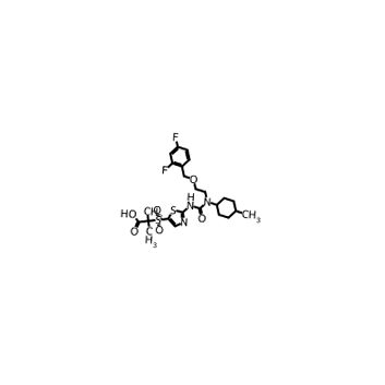 CC1CCC(N(CCOCc2ccc(F)cc2F)C(=O)Nc2ncc(S(=O)(=O)C(C)(C)C(=O)O)s2)CC1